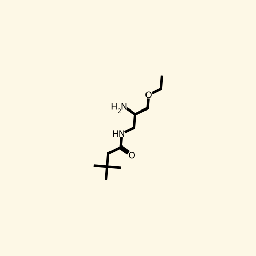 CCOCC(N)CNC(=O)CC(C)(C)C